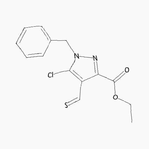 CCOC(=O)c1nn(Cc2ccccc2)c(Cl)c1C=S